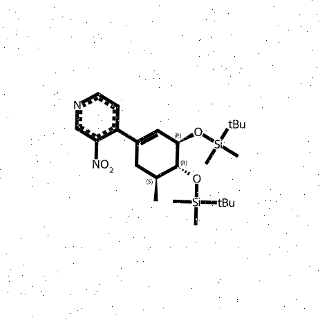 C[C@H]1CC(c2ccncc2[N+](=O)[O-])=C[C@@H](O[Si](C)(C)C(C)(C)C)[C@@H]1O[Si](C)(C)C(C)(C)C